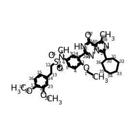 CCOc1ccc(N(C)S(=O)(=O)CCc2ccc(OC)c(OC)c2)cc1-c1nn2c(C3CCCCCC3)nc(C)c2c(=O)[nH]1